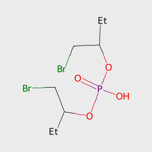 CCC(CBr)OP(=O)(O)OC(CC)CBr